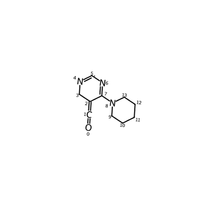 O=C=C1CN=[C]N=C1N1CCCCC1